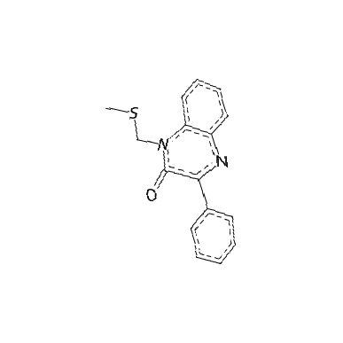 CSCn1c(=O)c(-c2ccccc2)nc2ccccc21